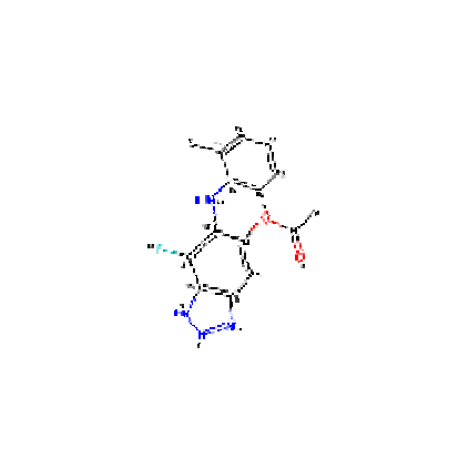 CC(=O)Oc1cc2nn[nH]c2c(F)c1Nc1ccccc1C